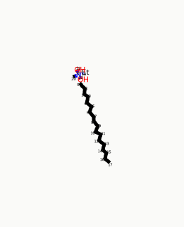 CCCCCCCCCCCCCCCCCC.CC[N+](C)(O)O